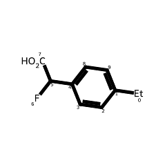 CCc1ccc(C(F)C(=O)O)cc1